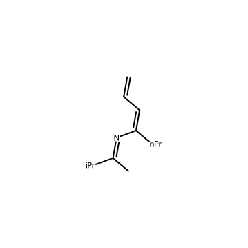 C=C/C=C(CCC)\N=C(/C)C(C)C